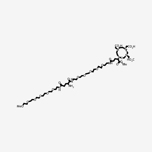 COCCOCCOCCOCCOCCOCCNC(=O)CCC(N)C(=O)NCCOCCOCCOCCOCCOCCNC(=O)CCC(C(=O)OC(C)(C)C)N1CCN(CC(=O)O)CCN(CC(=O)O)CCN(CC(=O)O)CC1